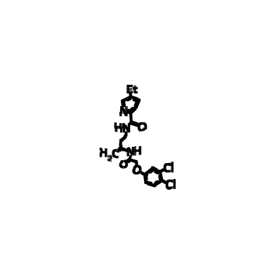 C=C(CCNC(=O)c1ccc(CC)cn1)NC(=O)COc1ccc(Cl)c(Cl)c1